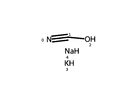 N#CO.[KH].[NaH]